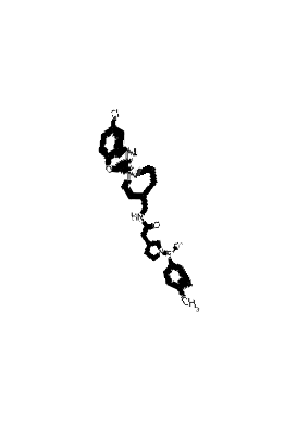 Cc1ccc([S+]([O-])N2CCC(CC(=O)NCC3CCN(c4nc5cc(Cl)ccc5o4)CC3)C2)cc1